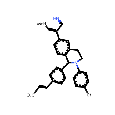 CCc1ccc(N2CCc3cc(/C(C=N)=C/NC)ccc3C2c2ccc(/C=C/C(=O)O)cc2)cc1